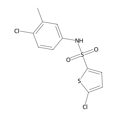 Cc1cc(NS(=O)(=O)c2ccc(Cl)s2)ccc1Cl